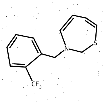 FC(F)(F)c1ccccc1CN1C=CC=CSC1